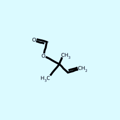 C=CC(C)(C)O[C]=O